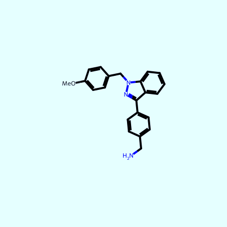 COc1ccc(Cn2nc(-c3ccc(CN)cc3)c3ccccc32)cc1